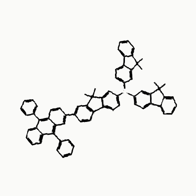 CC1(C)c2ccccc2-c2ccc(N(c3ccc4c(c3)C(C)(C)c3ccccc3-4)c3ccc4c(c3)C(C)(C)c3cc(-c5ccc6c(-c7ccccc7)c7ccccc7c(-c7ccccc7)c6c5)ccc3-4)cc21